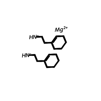 [Mg+2].[NH-]CCC1=CCCCC1.[NH-]CCC1=CCCCC1